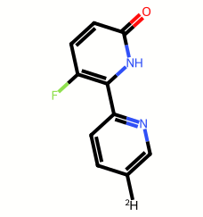 [2H]c1ccc(-c2[nH]c(=O)ccc2F)nc1